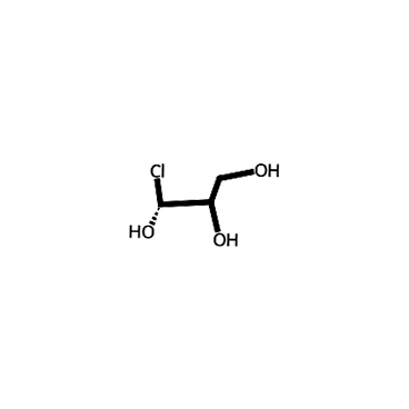 OCC(O)[C@H](O)Cl